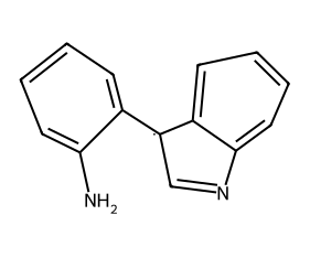 Nc1ccccc1[C]1C=Nc2ccccc21